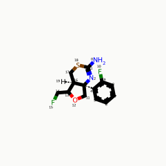 NC1=N[C@@]2(c3ccccc3F)COC(CF)[C@H]2CS1